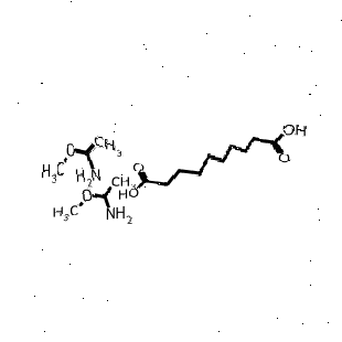 COC(C)N.COC(C)N.O=C(O)CCCCCCCCC(=O)O